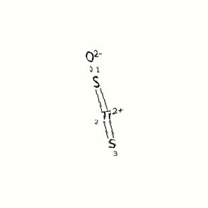 [O-2].[S]=[Ti+2]=[S]